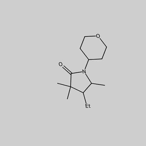 CCC1C(C)N(C2CCOCC2)C(=O)C1(C)C